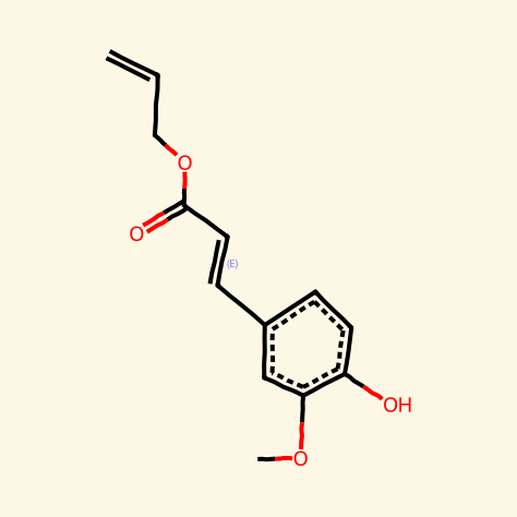 C=CCOC(=O)/C=C/c1ccc(O)c(OC)c1